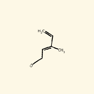 C=CC(C)=CC[O]